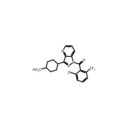 O=C(O)C1CCC(c2nn(C(=O)c3c(Cl)cccc3C(F)(F)F)c3cccnc23)CC1